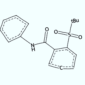 CC(C)(C)S(=O)(=O)c1ccccc1C(=O)Nc1ccccc1